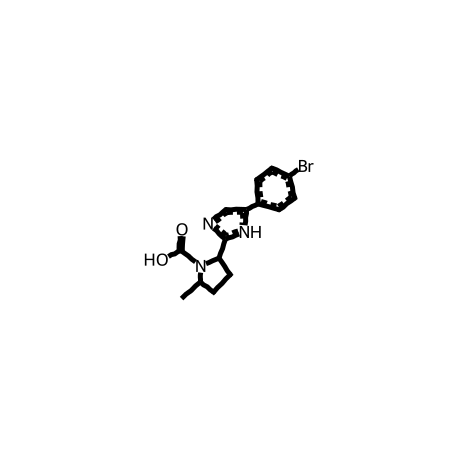 CC1CCC(c2ncc(-c3ccc(Br)cc3)[nH]2)N1C(=O)O